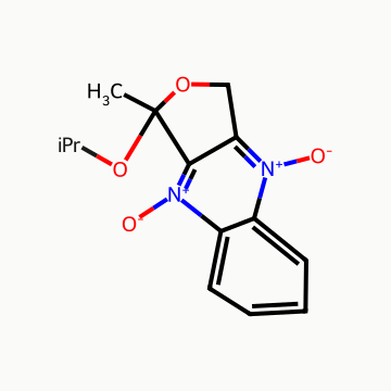 CC(C)OC1(C)OCc2c1[n+]([O-])c1ccccc1[n+]2[O-]